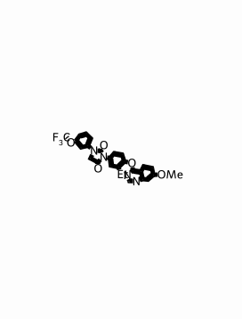 CCc1cc(N2C(=O)CN(c3cccc(OC(F)(F)F)c3)C2=O)ccc1Oc1ncnc2cc(OC)ccc12